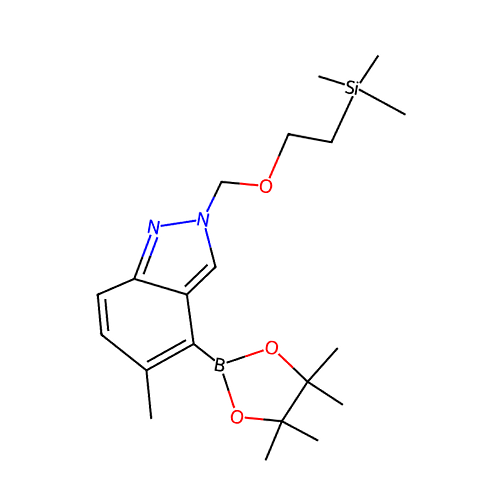 Cc1ccc2nn(COCC[Si](C)(C)C)cc2c1B1OC(C)(C)C(C)(C)O1